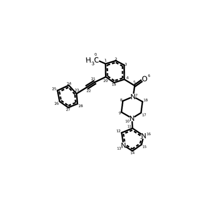 Cc1ccc(C(=O)N2CCN(c3cnccn3)CC2)cc1C#Cc1ccccc1